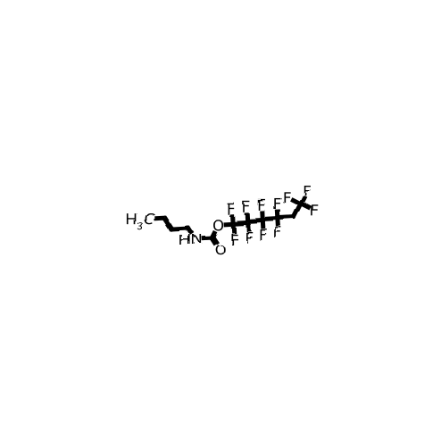 CCCCNC(=O)OC(F)(F)C(F)(F)C(F)(F)C(F)(F)CC(F)(F)F